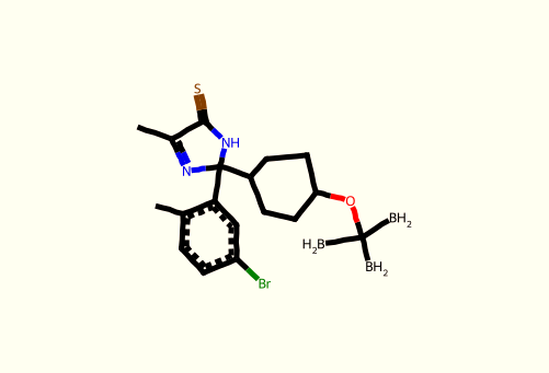 BC(B)(B)OC1CCC(C2(c3cc(Br)ccc3C)N=C(C)C(=S)N2)CC1